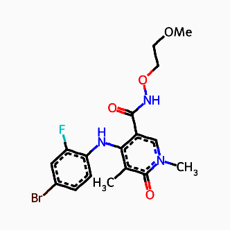 COCCONC(=O)c1cn(C)c(=O)c(C)c1Nc1ccc(Br)cc1F